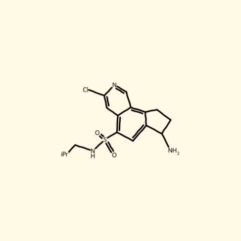 CC(C)CNS(=O)(=O)c1cc2c(c3cnc(Cl)cc13)CCC2N